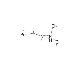 CC(C)CN=[PH](Cl)Cl